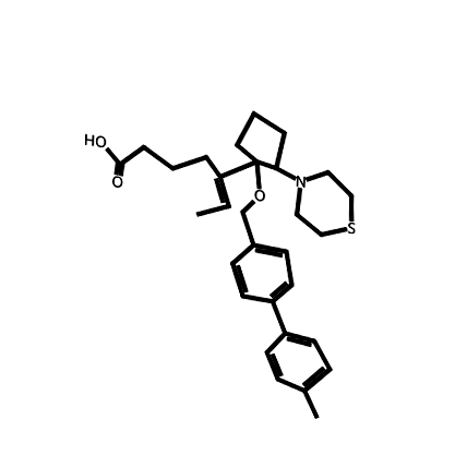 CC=C(CCCC(=O)O)C1(OCc2ccc(-c3ccc(C)cc3)cc2)CCCC1N1CCSCC1